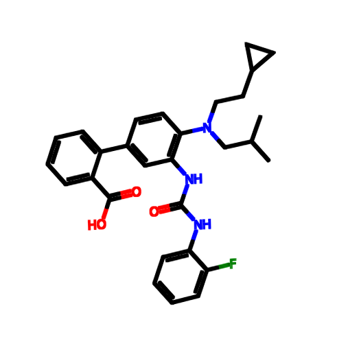 CC(C)CN(CCC1CC1)c1ccc(-c2ccccc2C(=O)O)cc1NC(=O)Nc1ccccc1F